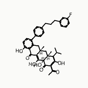 CC(=O)C1=C(O)C(C(C)C)[C@@]2(C)C[C@@]3(C)Cc4c(-c5ccc(CCCc6cccc(F)c6)cc5)ccc(O)c4C(=O)C3=C(O)[C@@]2(O)C1=O